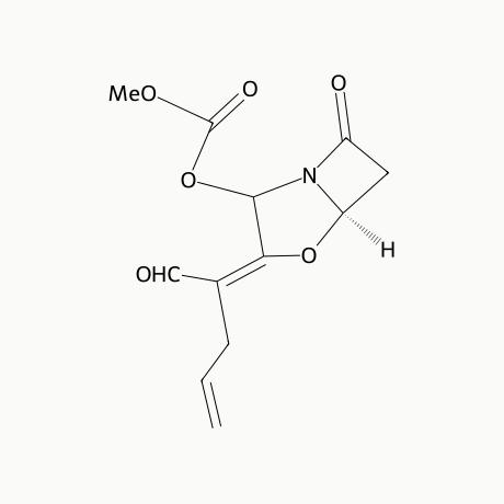 C=CCC(C=O)=C1O[C@@H]2CC(=O)N2C1OC(=O)OC